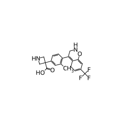 Cc1cc(C2(C(=O)O)CNC2)ccc1C1=C2CC=C(C(F)(F)F)C=C2ONC1